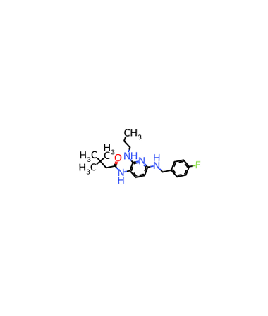 CCCNc1nc(NCc2ccc(F)cc2)ccc1NC(=O)CC(C)(C)C